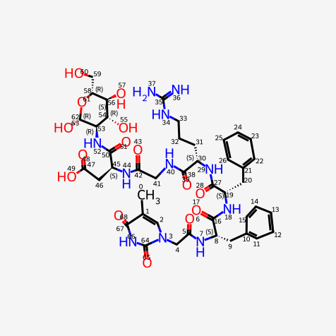 Cc1cn(CC(=O)N[C@@H](Cc2ccccc2)C(=O)N[C@@H](Cc2ccccc2)C(=O)N[C@@H](CCCNC(=N)N)C(=O)NCC(=O)N[C@@H](CC(=O)O)C(=O)N[C@@H]2[C@@H](O)[C@H](O)[C@@H](CO)O[C@H]2O)c(=O)[nH]c1=O